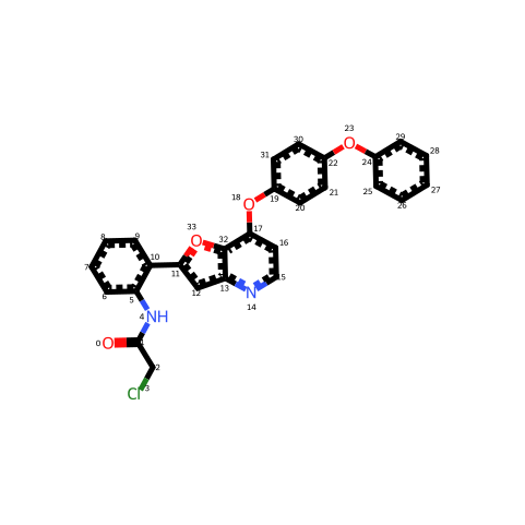 O=C(CCl)Nc1ccccc1-c1cc2nccc(Oc3ccc(Oc4ccccc4)cc3)c2o1